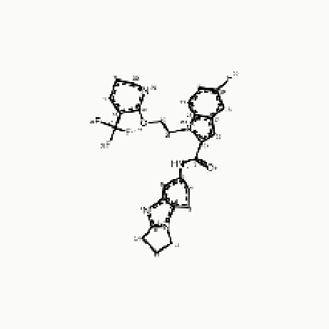 O=C(Nc1ccc2c(c1)nc1n2CCC1)c1cc2cc(F)ccc2n1CCOc1ncccc1C(F)(F)F